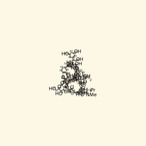 CN[C@H](CC(C)C)C(=O)N[C@H]1C(=O)N[C@@H](CC(N)=O)C(=O)N[C@H]2C(=O)N[C@H](c3ccc(O)cc3)C(=O)N[C@H](C(=O)NC(c3cc(O)cc(O)c3)C(O)O)[C@](C)(O)c3ccc(c(Cl)c3)Oc3cc2cc(c3OC2OC(CO)C(O)C(O)C2OC2CC(C)(N)C(O)C(C)O2)Oc2ccc(cc2Cl)[C@H]1O